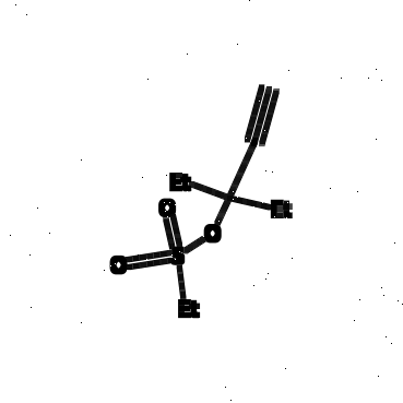 C#CC(CC)(CC)OS(=O)(=O)CC